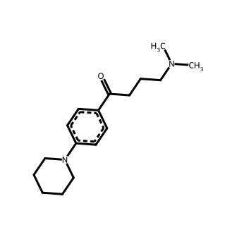 CN(C)CCCC(=O)c1ccc(N2CCCCC2)cc1